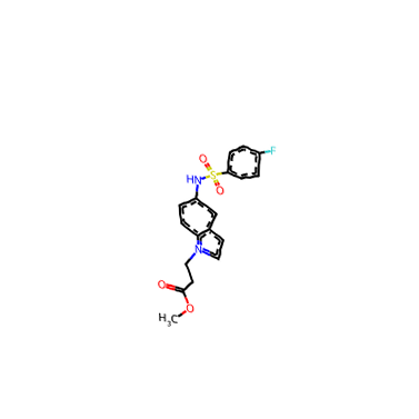 COC(=O)CCn1ccc2cc(NS(=O)(=O)c3ccc(F)cc3)ccc21